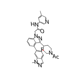 CC(=O)N1CCC(c2nn(CC(=O)Nc3cncc(C)c3)c3cccc(-c4cc5c(cnn5C)cc4F)c23)CC1